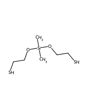 C[Si](C)(OCCS)OCCS